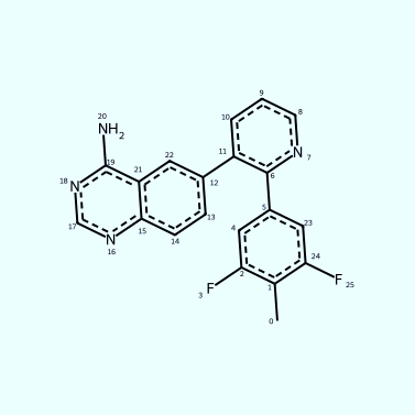 Cc1c(F)cc(-c2ncccc2-c2ccc3ncnc(N)c3c2)cc1F